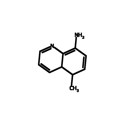 CC1C=CC(N)=C2N=CC=CC21